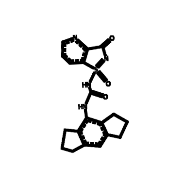 O=C(Nc1c2c(cc3c1CCC3)CCC2)NS1(=O)=NC(=O)c2ncccc21